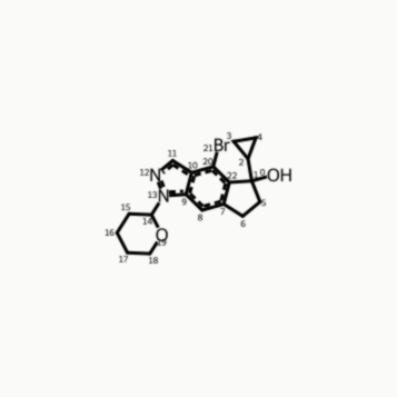 OC1(C2CC2)CCc2cc3c(cnn3C3CCCCO3)c(Br)c21